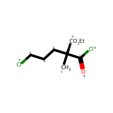 CCOC(=O)C(C)(CCCCl)C(=O)Cl